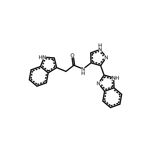 O=C(Cc1c[nH]c2ccccc12)Nc1c[nH]nc1-c1nc2ccccc2[nH]1